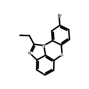 CCc1nc2cccc3c2n1-c1cc(Br)ccc1S3